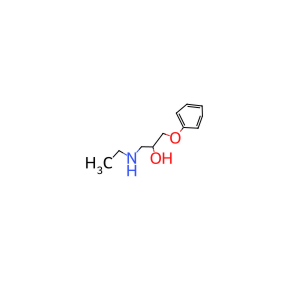 CCNCC(O)COc1ccccc1